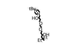 CCC(C)(CC)CC(O)CCOCCOCCC(O)CN1CCN(C(C)(C)C)CC1